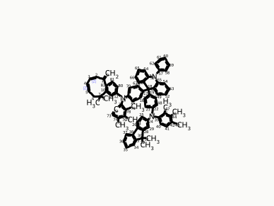 C=C1/C=C\C=C/CC(C)(C)c2cc(N(c3ccc(C4(c5ccc(N(c6ccc7c(c6)C(C)(C)c6ccccc6-7)c6ccc(C)c(C)c6C)cc5)c5ccccc5N(c5ccccc5)c5ccccc54)cc3)c3ccc(C)c(C)c3C)ccc21